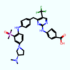 CN(C)[C@@H]1CCN(c2ccc(Nc3ccc(Cc4nc(Nc5ccc(C(=O)O)cc5)ncc4C(F)(F)F)cc3)c(P(C)(C)=O)c2)C1